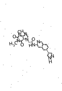 Cn1c(=O)c2c(ncn2CC(=O)Nc2cc3cc(-c4cn[nH]c4)ccc3cn2)n(C)c1=O